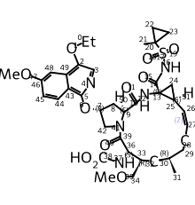 CCOc1cnc(O[C@@H]2C[C@H]3C(=O)N[C@]4(C(=O)NS(=O)(=O)C5(C)CC5)C[C@H]4/C=C\CC[C@@H](C)C[C@@H](COC)[C@H](NC(=O)O)C(=O)N3C2)c2ccc(OC)cc12